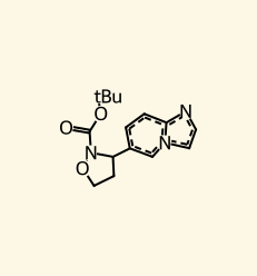 CC(C)(C)OC(=O)N1OCCC1c1ccc2nccn2c1